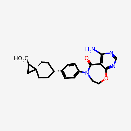 Nc1ncnc2c1C(=O)N(c1ccc([C@H]3CC[C@]4(CC3)CC4C(=O)O)cc1)CCO2